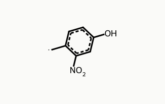 [CH2]c1ccc(O)cc1[N+](=O)[O-]